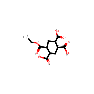 CCOC(=O)C1CC(C(=O)O)C(C(=O)O)CC1C(=O)O